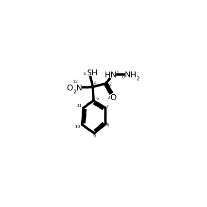 NNC(=O)C(S)(c1ccccc1)[N+](=O)[O-]